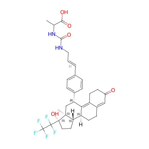 CC(NC(=O)NC/C=C/c1ccc([C@H]2C[C@@]3(C)[C@@H](CC[C@@]3(O)C(F)(F)C(F)(F)F)[C@@H]3CCC4=CC(=O)CCC4=C32)cc1)C(=O)O